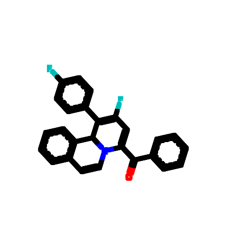 O=C(C1=CC(F)=C(c2ccc(F)cc2)C2c3ccccc3C=CN12)c1ccccc1